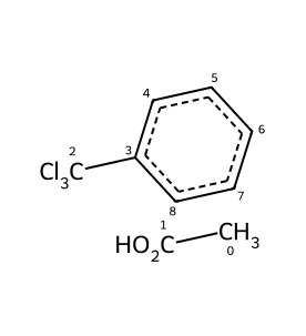 CC(=O)O.ClC(Cl)(Cl)c1ccccc1